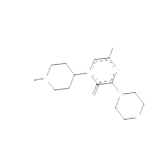 C[C@@H]1COCCN1c1nc(Cl)cn(C2CCN(C(=O)O)CC2)c1=O